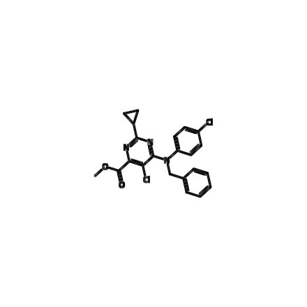 COC(=O)c1nc(C2CC2)nc(N(Cc2ccccc2)c2ccc(Cl)cc2)c1Cl